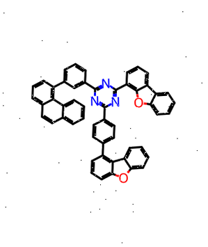 c1cc(-c2nc(-c3ccc(-c4cccc5oc6ccccc6c45)cc3)nc(-c3cccc4c3oc3ccccc34)n2)cc(-c2cccc3ccc4ccccc4c23)c1